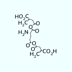 C=C(CC(=O)OC(=O)CC[C@H](N)C(=O)OC(=O)CC(=C)C(=O)O)C(=O)O